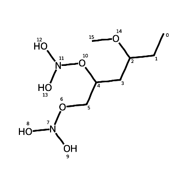 CCC(CC(CON(O)O)ON(O)O)OC